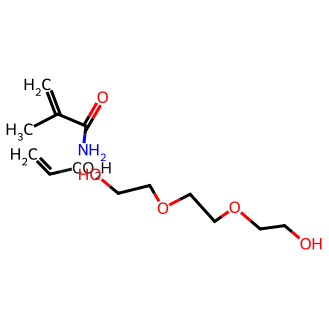 C=C(C)C(N)=O.C=CC(=O)O.OCCOCCOCCO